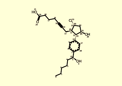 CCCCC[C@H](O)c1ccc([C@@H]2[C@@H](CC#CCCCC(=O)O)[C@H](Cl)C[C@H]2O)cc1